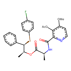 COc1ccnc(C(=O)N[C@@H](C)C(=O)O[C@@H](C)[C@H](Sc2ccc(F)cc2)c2ccccc2)c1OC(C)=O